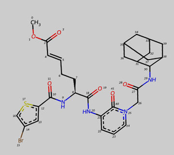 COC(=O)/C=C/CC[C@H](NC(=O)c1cc(Br)cs1)C(=O)Nc1cccn(CC(=O)NC2C3CC4CC(C3)CC2C4)c1=O